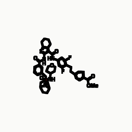 COC(=O)c1ccc(CCc2c(F)cc(NC(=O)c3c(NC(=O)c4cccc(CN5CC6CCC(C5)N6C(=O)NC5CCOCC5)c4)sc4c3CCCC4)cc2F)cc1